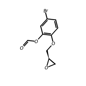 O=COc1cc(Br)ccc1OC[C@H]1CO1